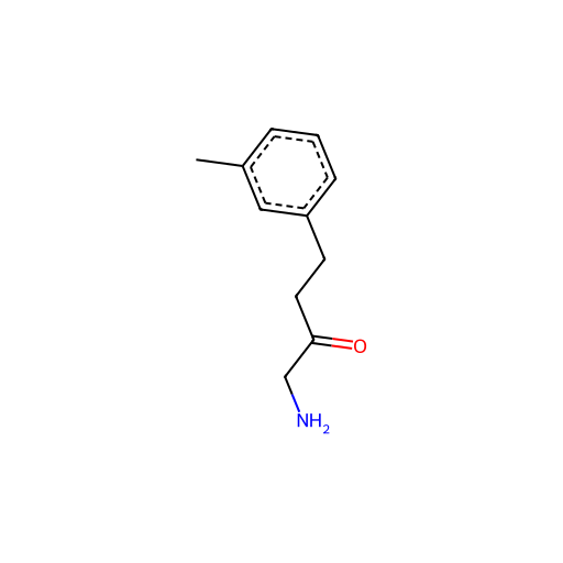 Cc1cccc(CCC(=O)CN)c1